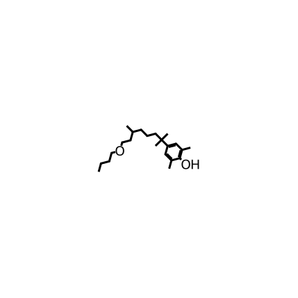 CCCCOCCC(C)CCCC(C)(C)c1cc(C)c(O)c(C)c1